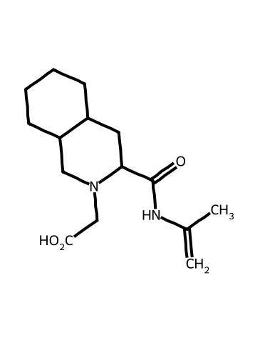 C=C(C)NC(=O)C1CC2CCCCC2CN1CC(=O)O